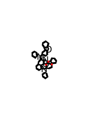 c1ccc(-c2nc3c(N(c4ccccc4)c4ccc5oc6ccccc6c5c4)cc4cccc(N(c5ccccc5)c5ccccc5)c4c3o2)cc1